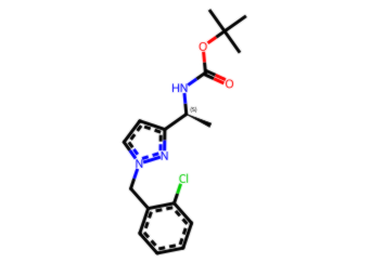 C[C@H](NC(=O)OC(C)(C)C)c1ccn(Cc2ccccc2Cl)n1